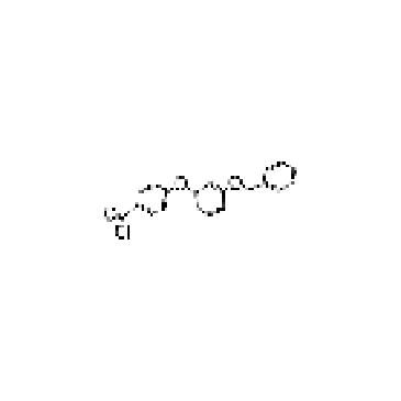 O=C(Cl)c1ccc(Oc2cccc(OCc3ccccc3)c2)cc1